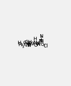 CC(C)(C)c1nnn(-c2ccc(NC(=O)N3CC(n4cc(C#N)cn4)C(c4ccc(Cl)cc4)=N3)cc2)n1